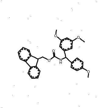 COc1ccc(C(NC(=O)OCC2c3ccccc3-c3ccccc32)c2cc(OC)cc(OC)c2)cc1